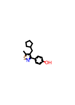 Cc1snc(-c2ccc(O)cc2)c1C[C]1CCCC1